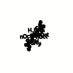 CCCCCCCCC1(CCCCCCCC)c2cc3c(cc2-c2cc4c(cc21)-c1cc2c(cc1C4(CCCCCCCC)CCCCCCCC)-c1c(cc(-n4c5ccccc5c5c6ccccc6ccc54)c4ccccc14)C2(C)C)C(C)(C)C1=C3C2CC=CC=C2C(n2c3ccccc3c3c4ccccc4ccc32)=C1